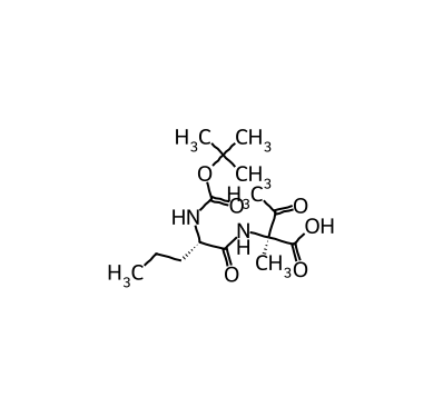 CCC[C@H](NC(=O)OC(C)(C)C)C(=O)N[C@@](C)(C(C)=O)C(=O)O